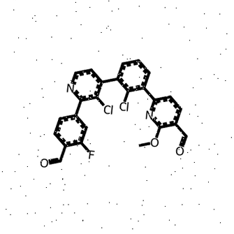 COc1nc(-c2cccc(-c3ccnc(-c4ccc(C=O)c(F)c4)c3Cl)c2Cl)ccc1C=O